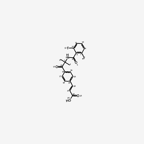 CC(C)(NC(=O)c1c(F)cccc1F)C(=O)c1ccc(C=CC(=O)O)cc1